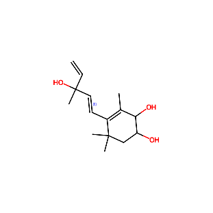 C=CC(C)(O)/C=C/C1=C(C)C(O)C(O)CC1(C)C